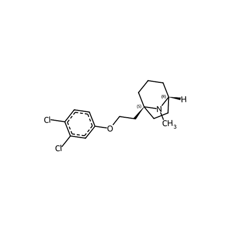 CN1[C@@H]2CCC[C@@]1(CCOc1ccc(Cl)c(Cl)c1)CC2